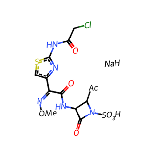 CO/N=C(\C(=O)NC1C(=O)N(S(=O)(=O)O)C1C(C)=O)c1csc(NC(=O)CCl)n1.[NaH]